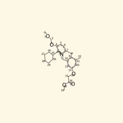 COCOc1ccc(Cc2c(C)cc(OCC(=O)OC)cc2C)nc1C1CCCCC1